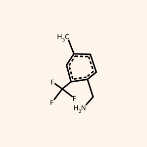 Cc1ccc(CN)c(C(F)(F)F)c1